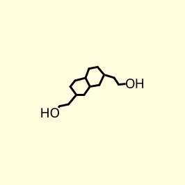 OCCC1CCC2CCC(CCO)CC2C1